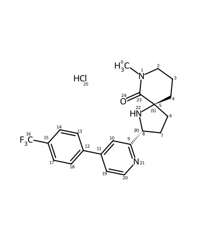 CN1CCC[C@]2(CC[C@H](c3cc(-c4ccc(C(F)(F)F)cc4)ccn3)N2)C1=O.Cl